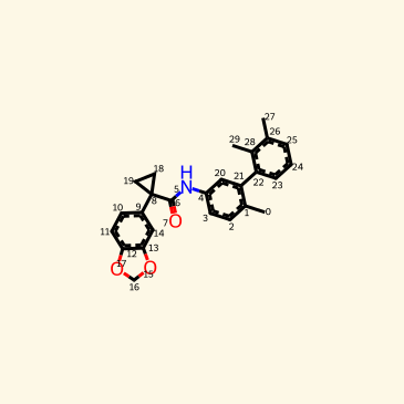 Cc1ccc(NC(=O)C2(c3ccc4c(c3)OCO4)CC2)cc1-c1cccc(C)c1C